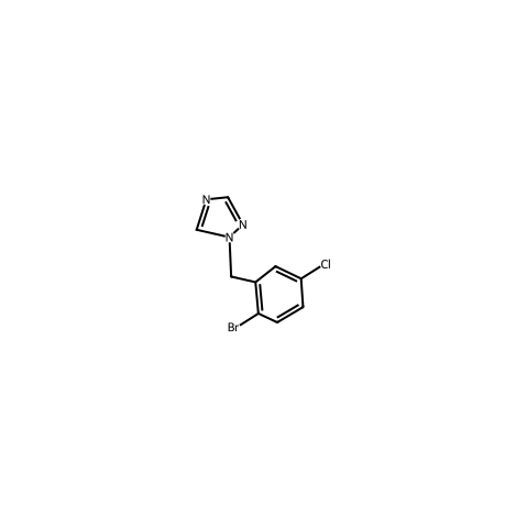 Clc1ccc(Br)c(Cn2cncn2)c1